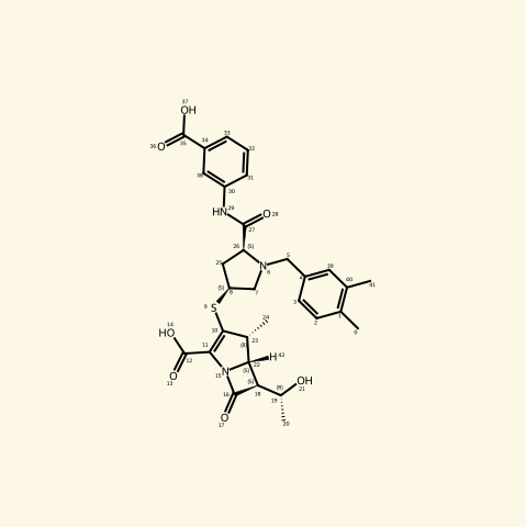 Cc1ccc(CN2C[C@@H](SC3=C(C(=O)O)N4C(=O)[C@H]([C@@H](C)O)[C@H]4[C@H]3C)C[C@H]2C(=O)Nc2cccc(C(=O)O)c2)cc1C